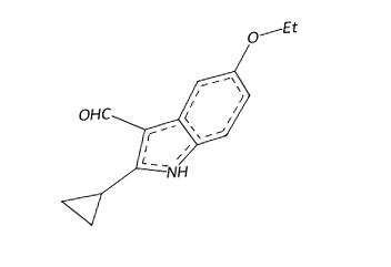 CCOc1ccc2[nH]c(C3CC3)c(C=O)c2c1